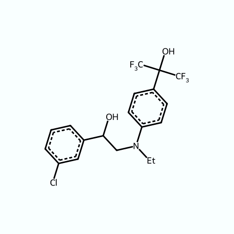 CCN(CC(O)c1cccc(Cl)c1)c1ccc(C(O)(C(F)(F)F)C(F)(F)F)cc1